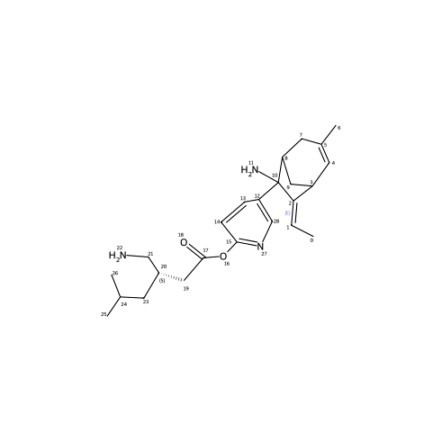 C/C=C1\C2C=C(C)CC(C2)C1(N)c1ccc(OC(=O)C[C@@H](CN)CC(C)C)nc1